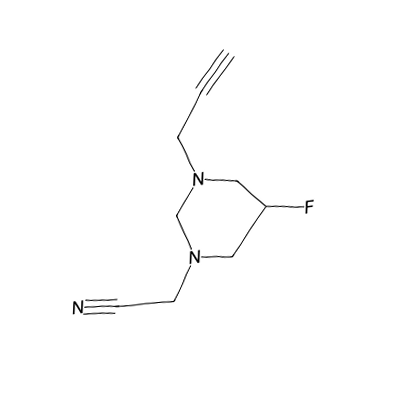 C#CCN1CC(F)CN(CC#N)C1